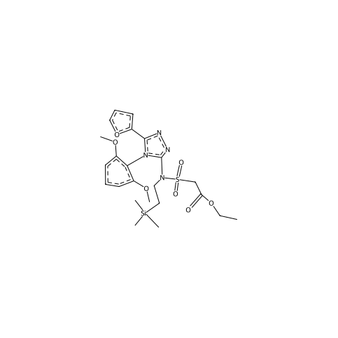 CCOC(=O)CS(=O)(=O)N(CC[Si](C)(C)C)c1nnc(-c2ccco2)n1-c1c(OC)cccc1OC